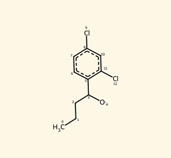 CCCC([O])c1ccc(Cl)cc1Cl